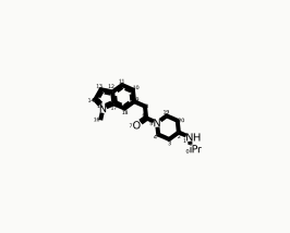 CC(C)NC1CCN(C(=O)Cc2ccc3ccn(C)c3c2)CC1